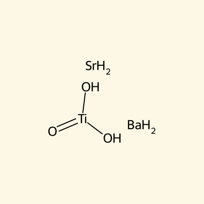 [BaH2].[O]=[Ti]([OH])[OH].[SrH2]